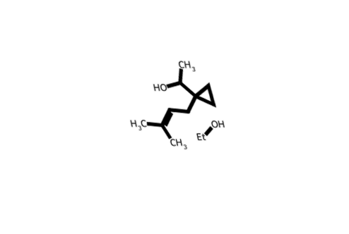 CC(C)=CCC1(C(C)O)CC1.CCO